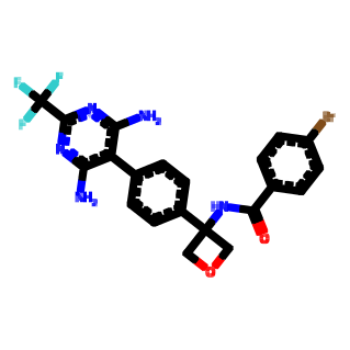 Nc1nc(C(F)(F)F)nc(N)c1-c1ccc(C2(NC(=O)c3ccc(Br)cc3)COC2)cc1